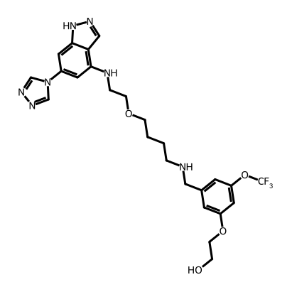 OCCOc1cc(CNCCCCOCCNc2cc(-n3cnnc3)cc3[nH]ncc23)cc(OC(F)(F)F)c1